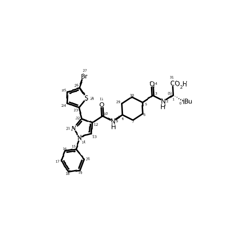 CCC(C)[C@H](NC(=O)C1CCC(NC(=O)c2cn(-c3ccccc3)nc2-c2ccc(Br)s2)CC1)C(=O)O